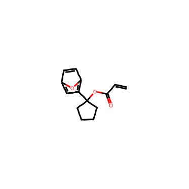 C=CC(=O)OC1(c2cc3ccc2o3)CCCC1